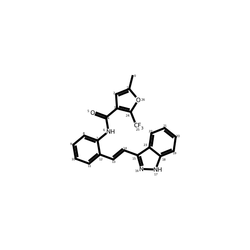 Cc1cc(C(=O)Nc2ccccc2/C=C/c2n[nH]c3ccccc23)c(C(F)(F)F)o1